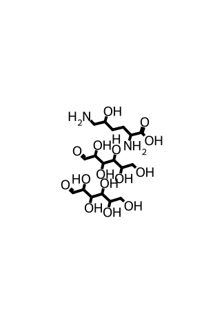 NCC(O)CCC(N)C(=O)O.O=CC(O)C(O)C(O)C(O)CO.O=CC(O)C(O)C(O)C(O)CO